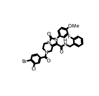 COc1ccc(-n2c(C(=O)NCc3ccccc3F)c3n(c2=O)CCN(C(=O)c2ccc(Br)c(Cl)c2)C3)cc1